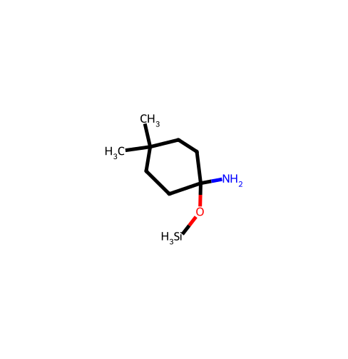 CC1(C)CCC(N)(O[SiH3])CC1